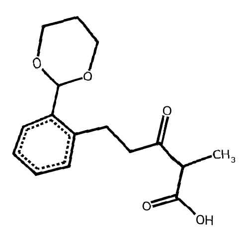 CC(C(=O)O)C(=O)CCc1ccccc1C1OCCCO1